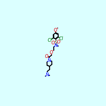 COc1cc(Cl)c(S(=O)(=O)N(C)CCOCC(=O)N2CCC(CCN(C)C)CC2)c(Cl)c1